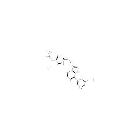 COc1nc(NS(=O)(=O)c2c[nH]c3c(-c4cncc(C)n4)c(Cl)ccc23)nc(OC)c1CC(F)F